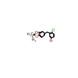 CC(C)(C)Oc1ccc(Cc2cc(Br)ccc2Cl)cc1